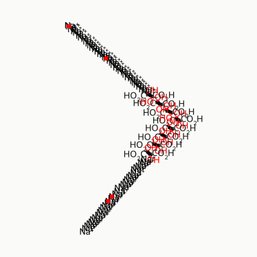 O=C(O)C(O)C(O)C(=O)O.O=C(O)C(O)C(O)C(=O)O.O=C(O)C(O)C(O)C(=O)O.O=C(O)C(O)C(O)C(=O)O.O=C(O)C(O)C(O)C(=O)O.O=C(O)C(O)C(O)C(=O)O.O=C(O)C(O)C(O)C(=O)O.O=C(O)C(O)C(O)C(=O)O.[Na+].[Na+].[Na+].[Na+].[Na+].[Na+].[Na+].[Na+].[Na+].[Na+].[Na+].[Na+].[Na+].[Na+].[Na+].[Na+].[Na+].[Na+].[Na+].[Na+].[Na+].[Na+].[Na+].[Na+].[Na+].[Na+].[Na+].[Na+].[Na+].[Na+].[Na+].[Na+].[Na+].[Na+].[Na+].[Na+].[Na+].[Na+].[Na+].[Na+].[Na+].[Na+].[Na+].[Na+].[Na+].[Na+].[Na+].[Na+].[Na+].[Na+].[Na+].[Na+].[Na+].[Na+].[Na+].[Na+].[Na+].[Na+].[Na+].[Na+].[Na+].[Na+].[Na+].[Na+].[Na+].[Na+]